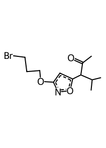 CC(=O)C(c1cc(OCCCBr)no1)C(C)C